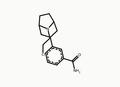 NC(=O)c1cccc(C2CC3CCC(C2)N3CCCl)c1